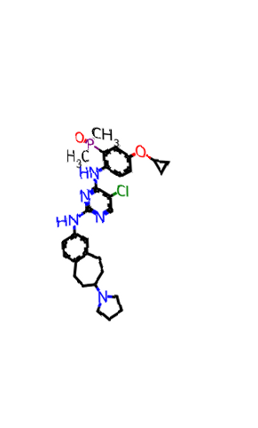 CP(C)(=O)c1cc(OC2CC2)ccc1Nc1nc(Nc2ccc3c(c2)CCC(N2CCCC2)CC3)ncc1Cl